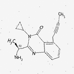 CC#Cc1cccc2nc([C@H](C)N)n(C3CC3)c(=O)c12